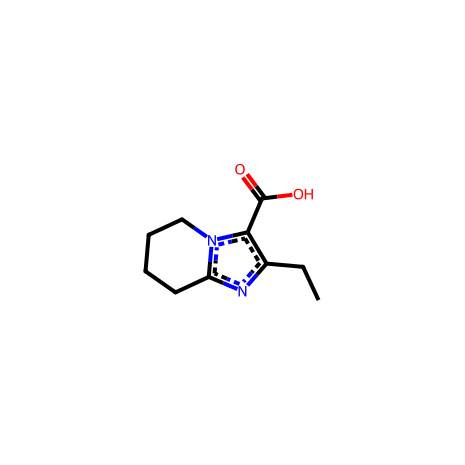 CCc1nc2n(c1C(=O)O)CCCC2